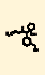 C=CCNC(c1cccc(CO)c1)C1(O)CCCC1